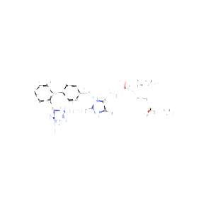 CCCCc1nc(Cl)c(COC(=O)[C@@H](CCC(=O)OC)NC)n1Cc1ccc(-c2ccccc2-c2nn[nH]n2)cc1